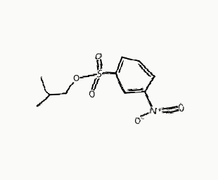 CC(C)COS(=O)(=O)c1cccc([N+](=O)[O-])c1